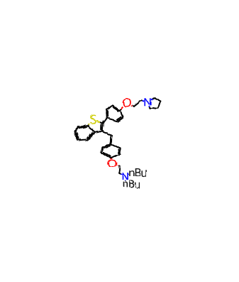 CCCCN(CCCC)CCOc1ccc(Cc2c(-c3ccc(OCCN4CCCC4)cc3)sc3ccccc23)cc1